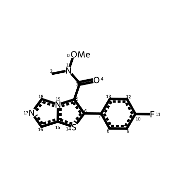 CON(C)C(=O)c1c(-c2ccc(F)cc2)sc2cncn12